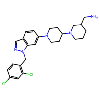 NCC1CCCN(C2CCN(c3ccc4cnn(Cc5ccc(Cl)cc5Cl)c4c3)CC2)C1